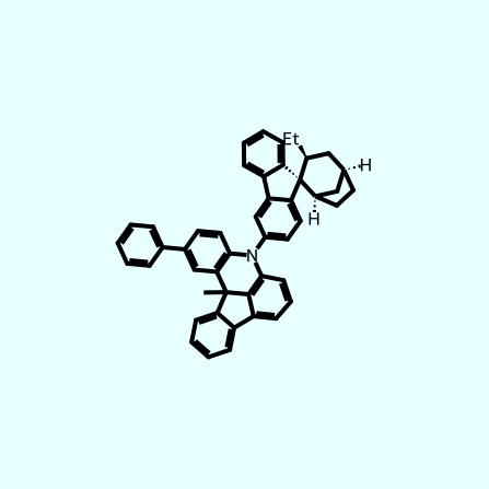 CC[C@H]1C[C@H]2CC[C@H](C2)[C@]12c1ccccc1-c1cc(N3c4ccc(-c5ccccc5)cc4C4(C)c5ccccc5-c5cccc3c54)ccc12